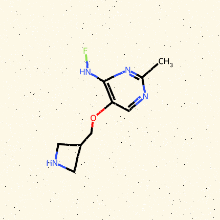 Cc1ncc(OCC2CNC2)c(NF)n1